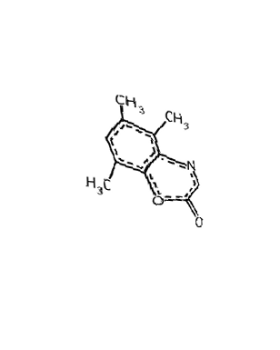 Cc1cc(C)c2oc(=O)cnc2c1C